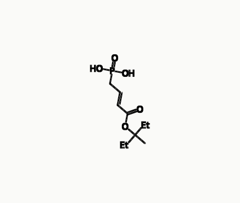 CCC(C)(CC)OC(=O)C=CCP(=O)(O)O